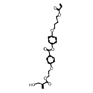 C=CC(=O)OCCCCOc1ccc(OC(=O)c2ccc(OCCOC(=O)C(=C)CO)cc2)cc1